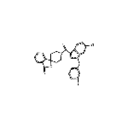 O=C1OC2(CCN(C(=O)c3cn(Cc4cccc(F)c4)c4cc(Cl)ccc34)CC2)c2ccccc21